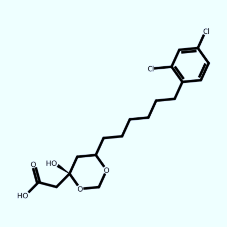 O=C(O)C[C@]1(O)CC(CCCCCCc2ccc(Cl)cc2Cl)OCO1